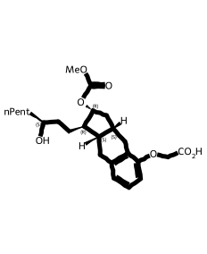 CCCCC[C@H](O)CC[C@@H]1[C@H]2Cc3cccc(OCC(=O)O)c3C[C@H]2C[C@H]1OC(=O)OC